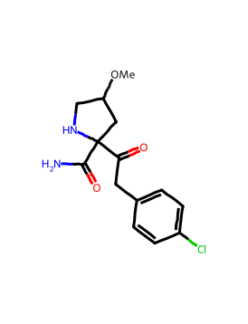 COC1CNC(C(N)=O)(C(=O)Cc2ccc(Cl)cc2)C1